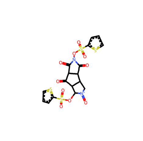 O=C1C2C(=O)N(OS(=O)(=O)c3cccs3)C(=O)C2C2C[N+](=O)C(OS(=O)(=O)c3cccs3)C12